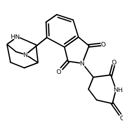 O=C1CCC(N2C(=O)c3cccc(N4CC5CCC4CN5)c3C2=O)C(=O)N1